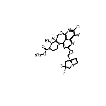 CC[C@H]1[C@H]2[C@H](C)Oc3nc(Cl)c(F)c4nc(OC[C@@]56CCN5CC(F)(F)C6)nc(c34)N2CCN1C(=O)OC(C)(C)C